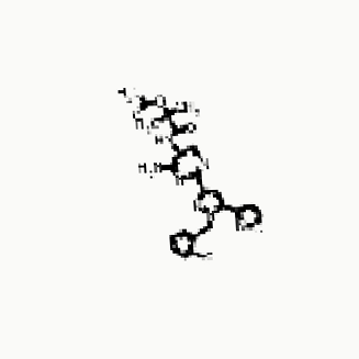 CC(=O)OC(C)(C)C(=O)Nc1cnc(-c2cc(-c3ccon3)n(Cc3ccccc3F)n2)nc1N